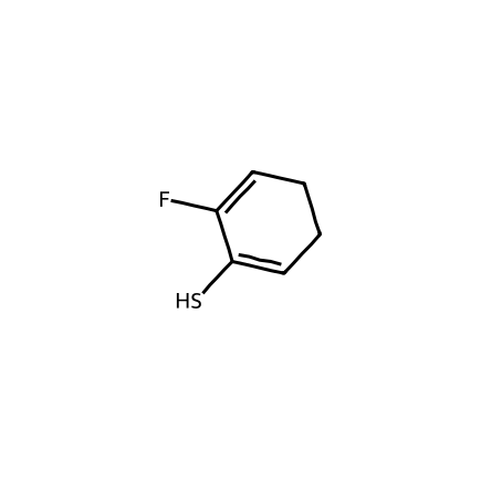 FC1=CCCC=C1S